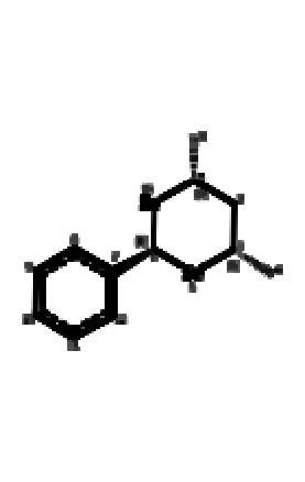 C[C@@H]1C[C@H](C)[Se][C@@H](c2ccccc2)[Se]1